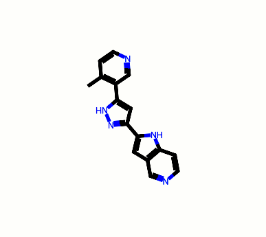 Cc1ccncc1-c1cc(-c2cc3cnccc3[nH]2)n[nH]1